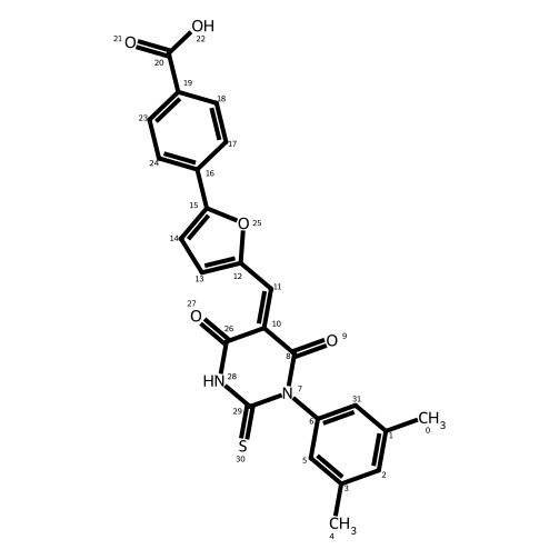 Cc1cc(C)cc(N2C(=O)C(=Cc3ccc(-c4ccc(C(=O)O)cc4)o3)C(=O)NC2=S)c1